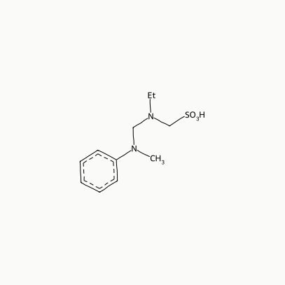 CCN(CN(C)c1ccccc1)CS(=O)(=O)O